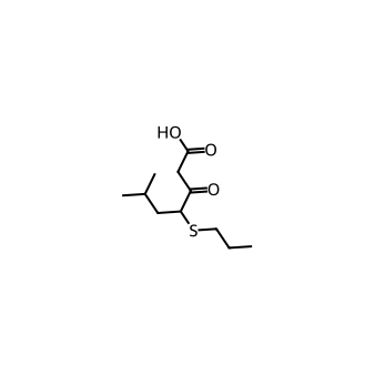 CCCSC(CC(C)C)C(=O)CC(=O)O